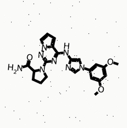 COc1cc(OC)cc(-n2cnc(Nc3nc(N4CCCC4C(N)=O)nn4cccc34)c2)c1